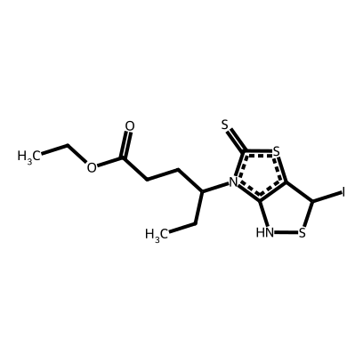 CCOC(=O)CCC(CC)n1c2c(sc1=S)C(I)SN2